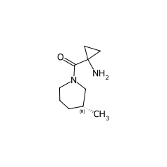 C[C@@H]1CCCN(C(=O)C2(N)CC2)C1